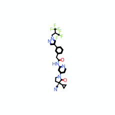 N#C[C@@]1(C2CC2)CCN(c2ccnc(NC(=O)Cc3cccc(-c4cnn(CC(C(F)(F)F)C(F)(F)F)c4)c3)c2)C1=O